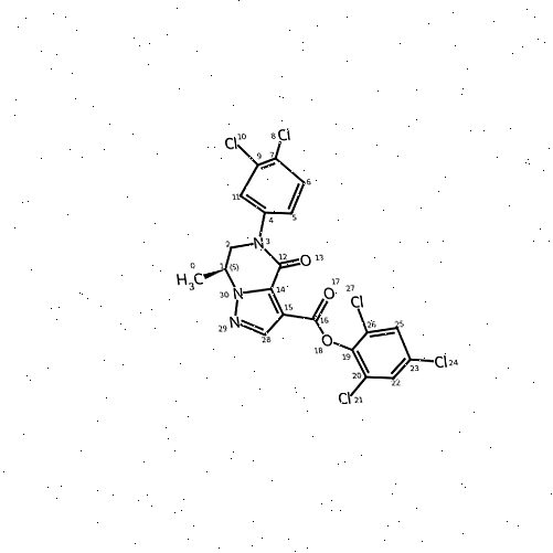 C[C@H]1CN(c2ccc(Cl)c(Cl)c2)C(=O)c2c(C(=O)Oc3c(Cl)cc(Cl)cc3Cl)cnn21